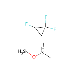 C[SiH](C)O[SiH3].FC1CC1(F)F